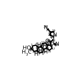 C[C@@]1(O)CC[C@H]2[C@H](CC[C@@H]3[C@@H]2CC[C@@]2(C)[C@H]3CC[C@]2(C#N)C(=O)Cn2cc(C#N)cn2)C1